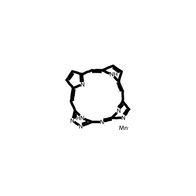 C1=Cc2cc3nnc(nc4nc(cc5ccc(cc1n2)[nH]5)C=N4)[nH]3.[Mn]